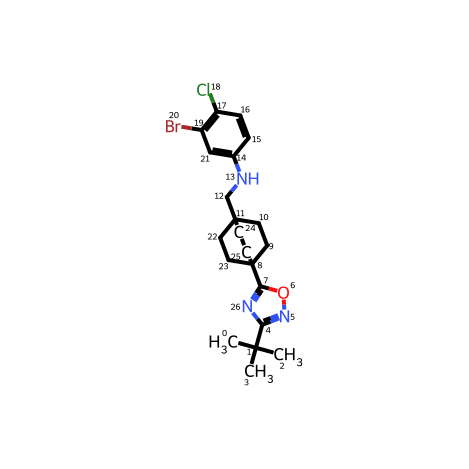 CC(C)(C)c1noc(C23CCC(CNc4ccc(Cl)c(Br)c4)(CC2)CC3)n1